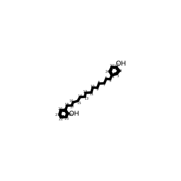 Oc1ccc(CCCCCCCCCCCCCCc2ccccc2O)cc1